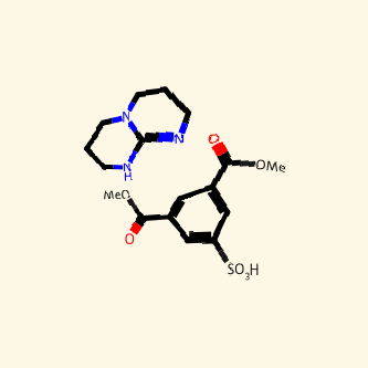 C1CN=C2NCCCN2C1.COC(=O)c1cc(C(=O)OC)cc(S(=O)(=O)O)c1